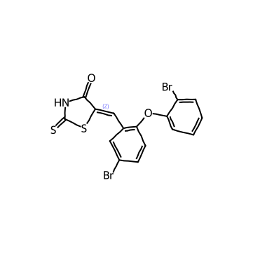 O=C1NC(=S)S/C1=C\c1cc(Br)ccc1Oc1ccccc1Br